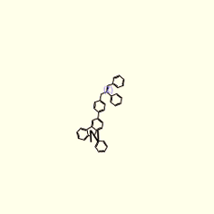 C(=C(\Cc1ccc(-c2ccc3c(c2)c2ccccc2n3-c2ccccc2)cc1)c1ccccc1)/c1ccccc1